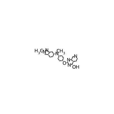 CN(c1ccc(Oc2nc(O)c3ccncc3n2)cc1)c1ccc2cn(C)nc2c1